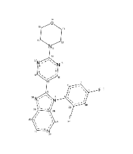 Fc1ccc(-n2c(-c3cnc(N4CCOCC4)nc3)nc3ccncc32)c(F)c1